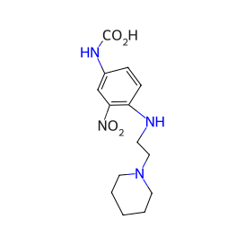 O=C(O)Nc1ccc(NCCN2CCCCC2)c([N+](=O)[O-])c1